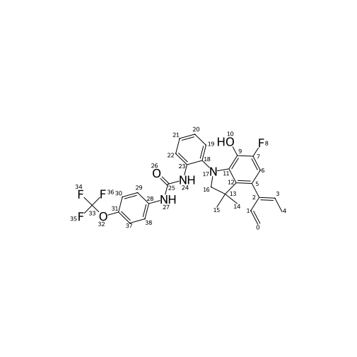 C=C/C(=C\C)c1cc(F)c(O)c2c1C(C)(C)CN2c1ccccc1NC(=O)Nc1ccc(OC(F)(F)F)cc1